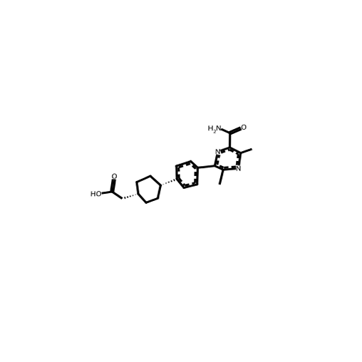 Cc1nc(C)c(-c2ccc([C@H]3CC[C@@H](CC(=O)O)CC3)cc2)nc1C(N)=O